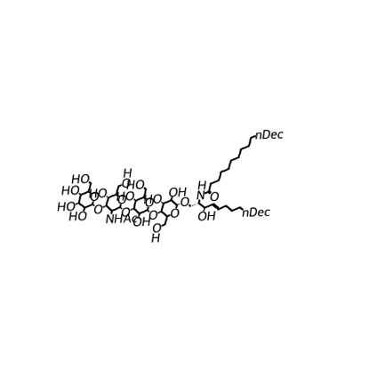 CCCCCCCCCCCCC/C=C/[C@@H](O)[C@H](CO[C@@H]1OC(CO)[C@@H](O[C@@H]2OC(CO)[C@H](O)[C@H](O[C@@H]3OC(CO)[C@@H](O)[C@H](O[C@@H]4OC(CO)[C@H](O)[C@H](O)C4O)C3NC(C)=O)C2O)[C@H](O)C1O)NC(=O)CCCCCCCCCCCCCCCCCCC